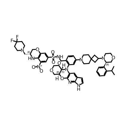 CC(C)c1ccccc1[C@@H]1COCCN1C1CC2(CCN(c3ccc(C(=O)NS(=O)(=O)c4cc5c(c([N+](=O)[O-])c4)N[C@H](CN4CCC(F)(F)CC4)CO5)c(N4c5cc6cc[nH]c6nc5O[C@H]5COCC[C@@H]54)c3)CC2)C1